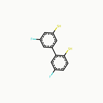 Fc1cc(S)cc(-c2cc(F)ccc2S)c1